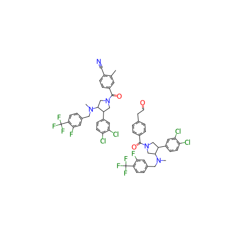 CN(Cc1ccc(C(F)(F)F)c(F)c1)C1CN(C(=O)c2ccc(CC=O)cc2)CC1c1ccc(Cl)c(Cl)c1.Cc1cc(C(=O)N2CC(c3ccc(Cl)c(Cl)c3)C(N(C)Cc3ccc(C(F)(F)F)c(F)c3)C2)ccc1C#N